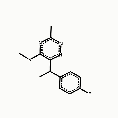 CSc1nc(C)nnc1C(C)c1ccc(F)cc1